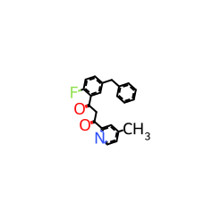 Cc1ccnc(C(=O)CC(=O)c2cc(Cc3ccccc3)ccc2F)c1